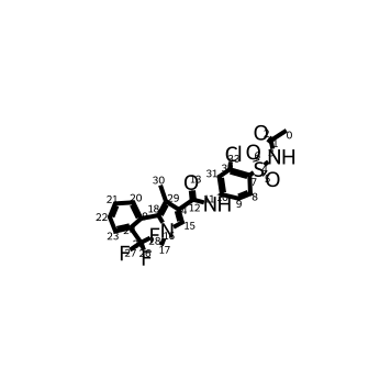 CC(=O)NS(=O)(=O)c1ccc(NC(=O)c2cn(C)c(-c3ccccc3C(F)(F)F)c2C)cc1Cl